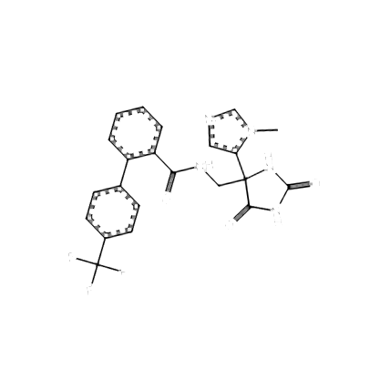 Cn1cncc1C1(CNC(=O)c2ccccc2-c2ccc(C(F)(F)F)cc2)NC(=O)NC1=O